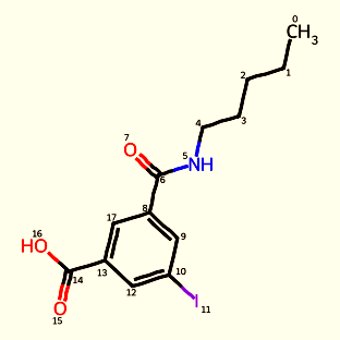 CCCCCNC(=O)c1cc(I)cc(C(=O)O)c1